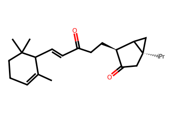 CC1=CCCC(C)(C)C1/C=C/C(=O)CC[C@@H]1C(=O)C[C@]2(C(C)C)CC12